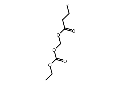 [CH2]CCC(=O)OCOC(=O)OCC